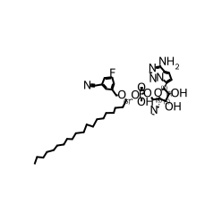 C=NC[C@]1(COP(=O)(O)OC[C@H](CCCCCCCCCCCCCCCCCCC)OCc2cc(F)cc(C#N)c2)O[C@@H](c2ccc3c(N)ncnn23)[C@H](O)[C@@H]1O